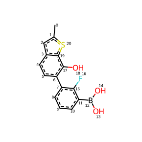 Cc1cc2ccc(-c3cccc(B(O)O)c3F)c(O)c2s1